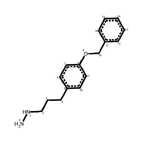 NNCCCc1ccc(OCc2ccccc2)cc1